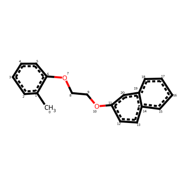 Cc1ccccc1OCCOc1ccc2ccccc2c1